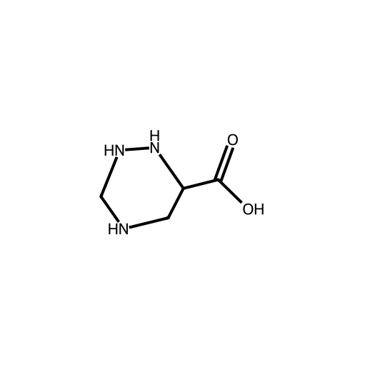 O=C(O)C1CNCNN1